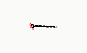 C#CC#CC#CC#CC#CC#CC1CC(=O)OC1=O